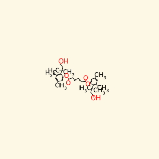 Cc1cc(C)c(C(C)(C)CCO)c(OC(=O)CCCCC(=O)Oc2cc(C)cc(C)c2C(C)(C)CCO)c1